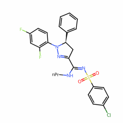 CCCN/C(=N\S(=O)(=O)c1ccc(Cl)cc1)C1=NN(c2ccc(F)cc2F)[C@@H](c2ccccc2)C1